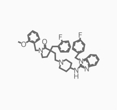 COc1ccccc1CN1CCC(CCN2CCC(Nc3nc4ccccc4n3Cc3ccc(F)cc3)CC2)(Cc2ccccc2F)C1=O